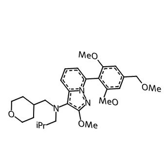 COCc1cc(OC)c(-c2cccc3c(N(CC(C)C)CC4CCOCC4)c(OC)nn23)c(OC)c1